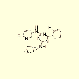 Fc1ccc(Nc2nc(NC3C4COCC43)nc(-c3ccccc3F)n2)cn1